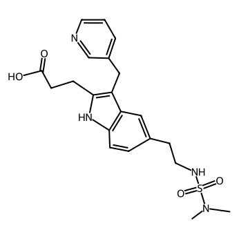 CN(C)S(=O)(=O)NCCc1ccc2[nH]c(CCC(=O)O)c(Cc3cccnc3)c2c1